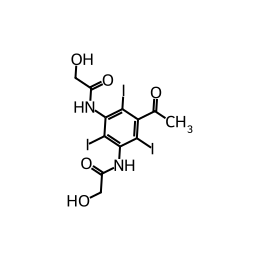 CC(=O)c1c(I)c(NC(=O)CO)c(I)c(NC(=O)CO)c1I